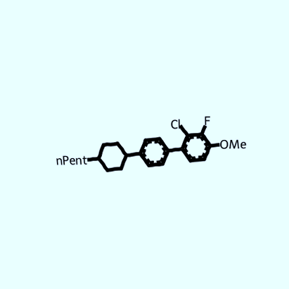 CCCCCC1CCC(c2ccc(-c3ccc(OC)c(F)c3Cl)cc2)CC1